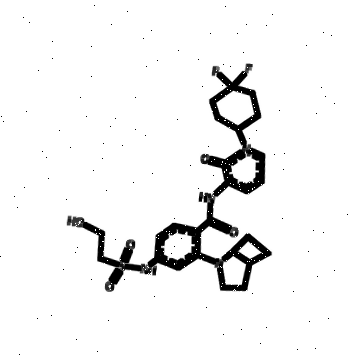 O=C(Nc1cccn(C2CCC(F)(F)CC2)c1=O)c1ccc(NS(=O)(=O)CCO)cc1N1CCC2CCC21